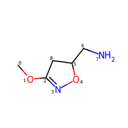 COC1=NOC(CN)C1